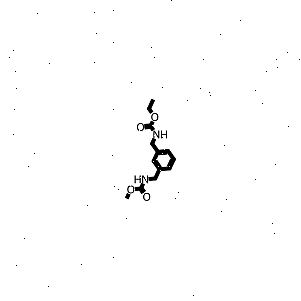 CCOC(=O)NCc1cccc(CNC(=O)OC)c1